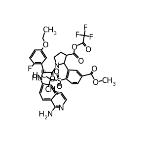 CCOc1ccc(F)c([C@@H](Nc2ccc3c(N)nccc3c2)C(=O)N2CCC(C(=O)OC(=O)C(F)(F)F)C2c2cc(C(=O)OC)ccc2S(=O)(=O)C(C)C)c1